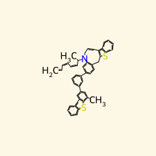 C=C/C=C\C=C/C(C)N1C/C=C\c2c(sc3ccccc23)Cc2ccc(-c3cccc(-c4cc(C)c5sc6ccccc6c5c4)c3)cc21